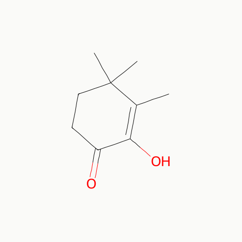 CC1=C(O)C(=O)CCC1(C)C